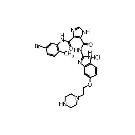 Cc1ccc(Br)cc1NC(=O)c1nc[nH]c1C(=O)Nc1nc2cc(OCCN3CCNCC3)ccc2[nH]1.Cl